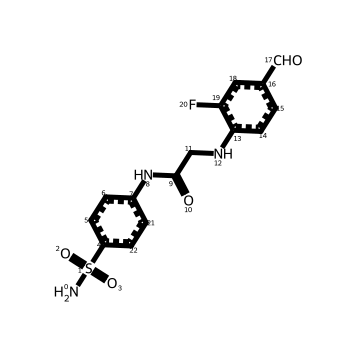 NS(=O)(=O)c1ccc(NC(=O)CNc2ccc(C=O)cc2F)cc1